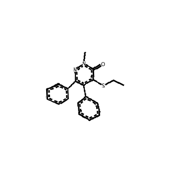 CCSc1c(-c2ccccc2)c(-c2ccccc2)nn(C)c1=O